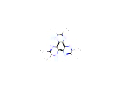 N#CC1=Nc2c(c3c(c4nc(C#N)c(C#N)nc24)NC(C#N)C(C#N)=N3)NC1C#N